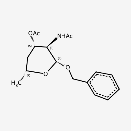 CC(=O)N[C@H]1[C@H](OCc2ccccc2)O[C@H](C)C[C@@H]1OC(C)=O